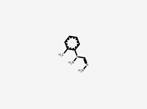 Cc1ccccc1N(N)/C=N\N